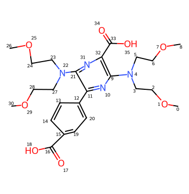 COCCN(CCOC)c1nc(-c2ccc(C(=O)O)cc2)c(N(CCOC)CCOC)nc1C(=O)O